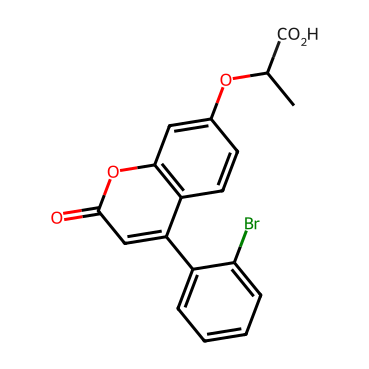 CC(Oc1ccc2c(-c3ccccc3Br)cc(=O)oc2c1)C(=O)O